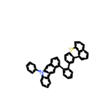 c1ccc(-n2c3ccccc3c3cc4c(-c5ccccc5-c5ccc6c(c5)-c5cccc7cccc(c57)S6)cccc4cc32)cc1